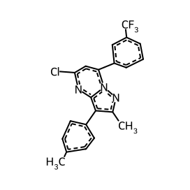 Cc1ccc(-c2c(C)nn3c(-c4cccc(C(F)(F)F)c4)cc(Cl)nc23)cc1